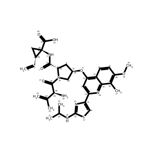 C=C[C@@H]1C[C@]1(NC(=O)[C@@H]1C[C@@H](Oc2cc(-c3csc(NC(C)C)n3)nc3c(C)c(OC)ccc23)CN1C(=O)[C@@H](N)C(=C)C)C(=O)O